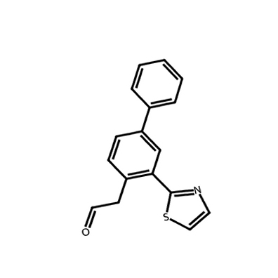 O=CCc1ccc(-c2ccccc2)cc1-c1nccs1